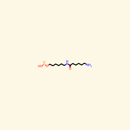 NCCCCCC(=O)NCCCCCCOPO